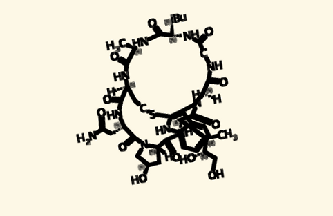 CC[C@H](C)[C@@H]1NC(=O)CNC(=O)[C@@H]2Cc3c([nH]c4ccccc34)SCC[C@H](NC(=O)[C@@H](C)NC1=O)C(=O)N[C@@H](CC(N)=O)C(=O)N1C[C@H](O)C[C@H]1C(=O)N[C@@H]([C@@H](C)[C@@H](O)CO)C(=O)N2